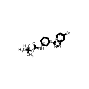 CC(C)(C)OC(=O)N[C@@H]1CCC[C@H](c2nnc3cc(Br)ccn23)C1